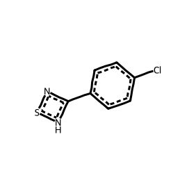 Clc1ccc(-c2ns[nH]2)cc1